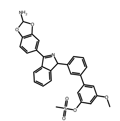 COc1cc(OS(C)(=O)=O)cc(-c2cccc(C3N=C(c4ccc5c(c4)OC(N)O5)c4ccccc43)c2)c1